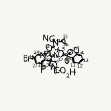 N#CN(C(=O)[C@@H]1C[C@@H](S(=O)(=O)c2ccccc2Cl)CN1C(=O)C1(c2ncc(Br)cc2F)CN(C(=O)O)C1)C1CC1